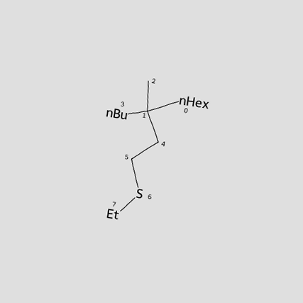 CCCCCCC(C)(CCCC)CCSCC